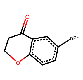 CCCc1ccc2c(c1)C(=O)CCO2